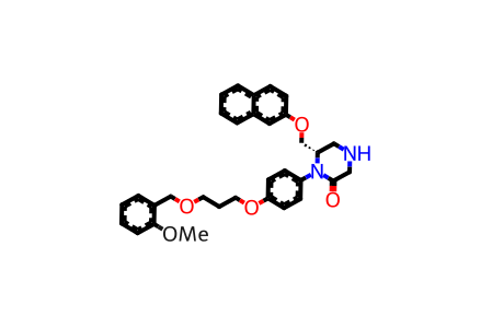 COc1ccccc1COCCCOc1ccc(N2C(=O)CNC[C@H]2COc2ccc3ccccc3c2)cc1